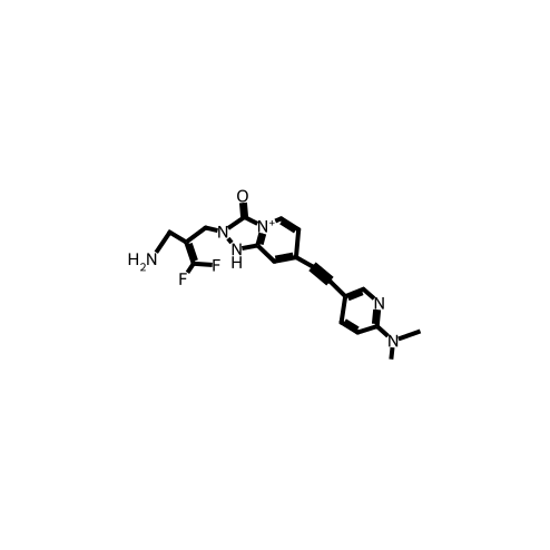 CN(C)c1ccc(C#Cc2cc[n+]3c(=O)n(CC(CN)=C(F)F)[nH]c3c2)cn1